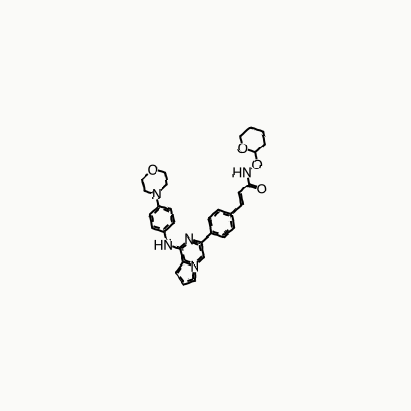 O=C(/C=C/c1ccc(-c2cn3cccc3c(Nc3ccc(N4CCOCC4)cc3)n2)cc1)NOC1CCCCO1